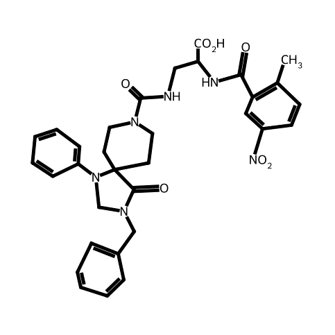 Cc1ccc([N+](=O)[O-])cc1C(=O)NC(CNC(=O)N1CCC2(CC1)C(=O)N(Cc1ccccc1)CN2c1ccccc1)C(=O)O